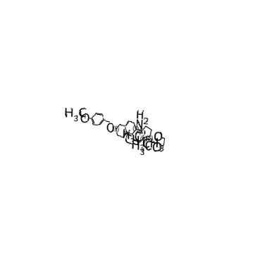 COc1ccc(CO[C@H]2CC[C@@]3(C)C(=CC[C@]4(N)C3CC[C@]3(C)[C@@H](C5(C)OCCO5)CC[C@@]43C)C2)cc1